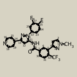 Cn1ccc(-c2cc(C(=O)Nc3cc(-c4ccncc4)nn3-c3ccc(F)c(F)c3)ccc2C(F)(F)F)n1